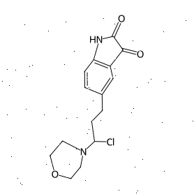 O=C1Nc2ccc(CCC(Cl)N3CCOCC3)cc2C1=O